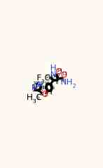 C[C@@H](Oc1ccc(-c2cc(C(N)=O)c(=O)[nH]c2C(F)(F)F)cc1)c1cncnc1